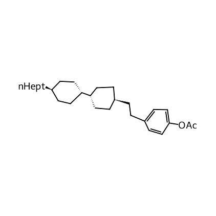 CCCCCCC[C@H]1CC[C@H]([C@H]2CC[C@H](CCc3ccc(OC(C)=O)cc3)CC2)CC1